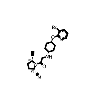 C#C[C@H]1CC[C@@H](C#N)N1C(=O)CN[C@H]1CC[C@H](Oc2ncccc2Br)CC1